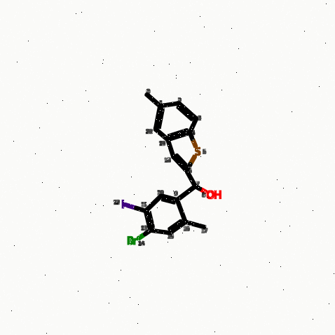 Cc1ccc2sc(C(O)c3cc(I)c(Br)cc3C)cc2c1